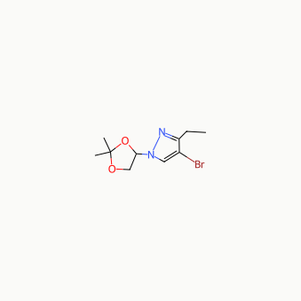 CCc1nn(C2COC(C)(C)O2)cc1Br